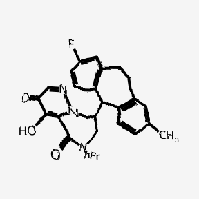 CCCN1CC(C2c3ccc(C)cc3CCc3cc(F)ccc32)n2ncc(=O)c(O)c2C1=O